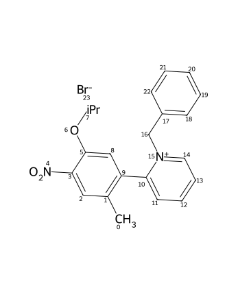 Cc1cc([N+](=O)[O-])c(OC(C)C)cc1-c1cccc[n+]1Cc1ccccc1.[Br-]